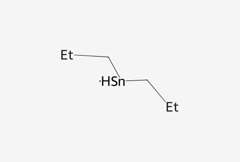 CC[CH2][SnH][CH2]CC